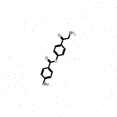 BCC(=O)c1ccc(OC(=O)c2ccc(CCCC)cc2)cc1